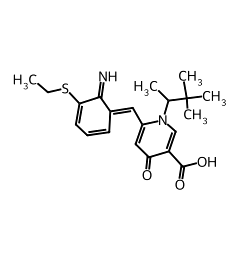 CCSC1=CC=C/C(=C\c2cc(=O)c(C(=O)O)cn2C(C)C(C)(C)C)C1=N